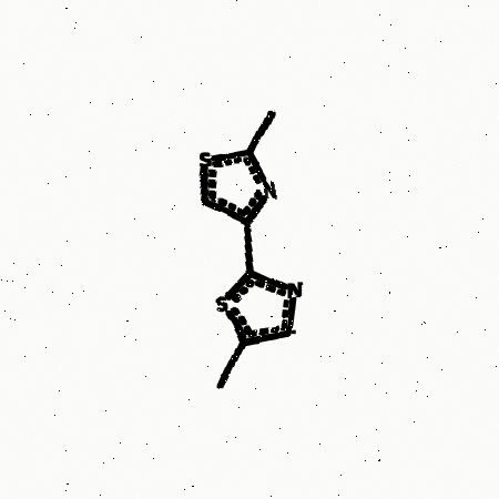 Cc1[c]nc(-c2csc(C)n2)s1